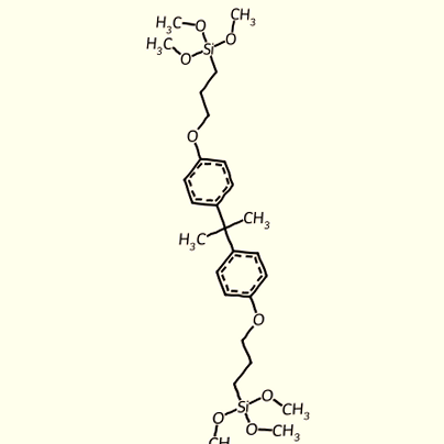 CO[Si](CCCOc1ccc(C(C)(C)c2ccc(OCCC[Si](OC)(OC)OC)cc2)cc1)(OC)OC